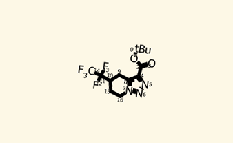 CC(C)(C)OC(=O)c1nnn2c1CC(C(F)(F)C(F)(F)F)CC2